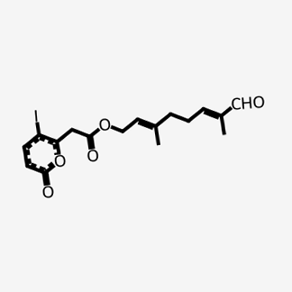 C/C(C=O)=C\CC/C(C)=C/COC(=O)Cc1oc(=O)ccc1I